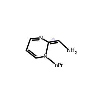 CCCN1C=CC=N/C1=C/N